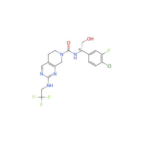 O=C(N[C@H](CO)c1ccc(Cl)c(F)c1)N1CCc2cnc(NCC(F)(F)F)nc2C1